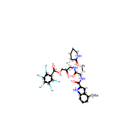 COc1cccc2[nH]c(C(=O)N[C@@H](CC(C)C)C(=O)N[C@@H](C[C@@H]3CCCNC3=O)C(=O)COC(=O)c3c(F)c(F)c(F)c(F)c3F)cc12